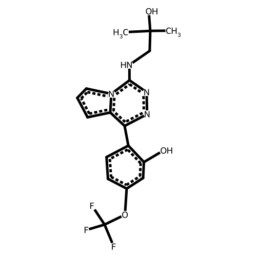 CC(C)(O)CNc1nnc(-c2ccc(OC(F)(F)F)cc2O)c2cccn12